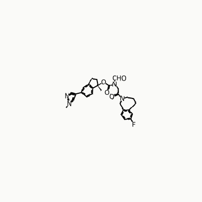 Cn1cc(-c2ccc3c(c2)CC[C@]3(C)OC(=O)N(C=O)CC(=O)N2CCCc3cc(F)ccc3C2)cn1